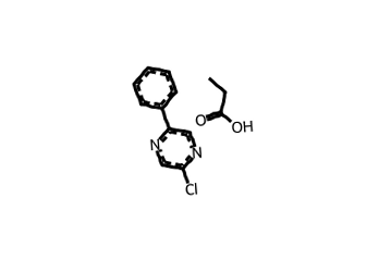 CCC(=O)O.Clc1cnc(-c2ccccc2)cn1